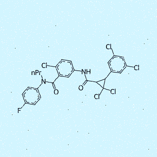 CCCN(C(=O)c1cc(NC(=O)C2C(c3cc(Cl)cc(Cl)c3)C2(Cl)Cl)ccc1Cl)c1ccc(F)cc1